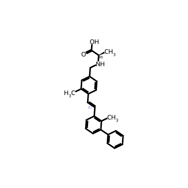 Cc1cc(CN[C@H](C)C(=O)O)ccc1/C=C/c1cccc(-c2ccccc2)c1C